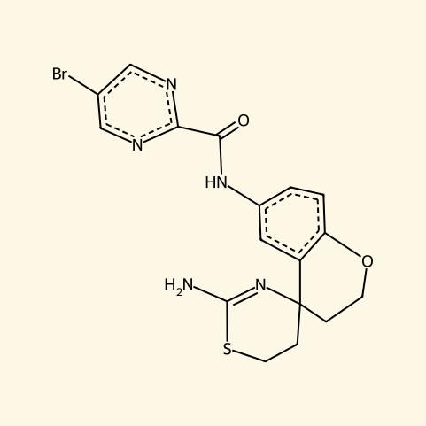 NC1=NC2(CCOc3ccc(NC(=O)c4ncc(Br)cn4)cc32)CCS1